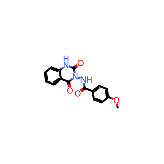 COc1ccc(C(=O)Nn2c(=O)[nH]c3ccccc3c2=O)cc1